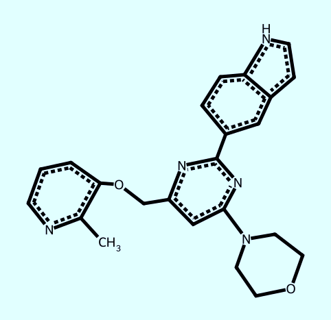 Cc1ncccc1OCc1cc(N2CCOCC2)nc(-c2ccc3[nH]ccc3c2)n1